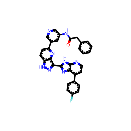 O=C(Cc1ccccc1)Nc1cncc(-c2ccc3[nH]nc(-c4nc5c(-c6ccc(F)cc6)ccnc5[nH]4)c3n2)c1